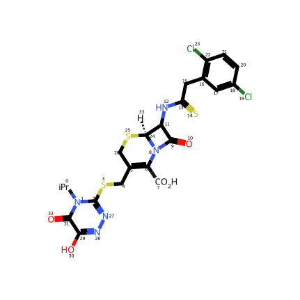 CC(C)n1c(SCC2=C(C(=O)O)N3C(=O)C(NC(=S)Cc4cc(Cl)ccc4Cl)[C@@H]3SC2)nnc(O)c1=O